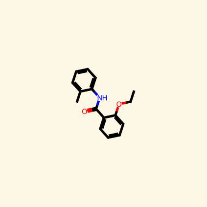 CCOc1ccccc1C(=O)Nc1ccccc1C